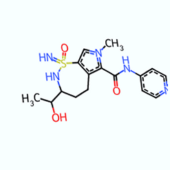 CC(O)C1CCc2c(cn(C)c2C(=O)Nc2ccncc2)S(=N)(=O)N1